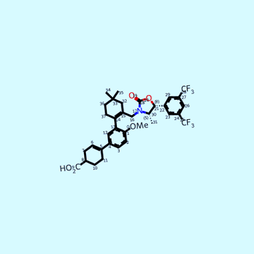 COc1ccc(C2=CCC(C(=O)O)CC2)cc1C1=C(CN2C(=O)O[C@H](c3cc(C(F)(F)F)cc(C(F)(F)F)c3)[C@@H]2C)CC(C)(C)CC1